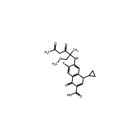 COCC(C)(Nc1cc2c(cc1F)c(=O)c(C(=O)O)cn2C1CC1)C(=O)CC(C)=O